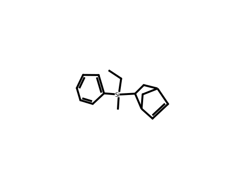 CC[Si](C)(c1ccccc1)C1CC2C=CC1C2